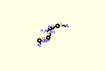 CN(C)CCCOC1=CC=C(c2cc3c(NCCc4ccc(NC(=O)NC5CC=CC=C5CN(C)C)cc4)c(C(N)=O)cnc3o2)CC1